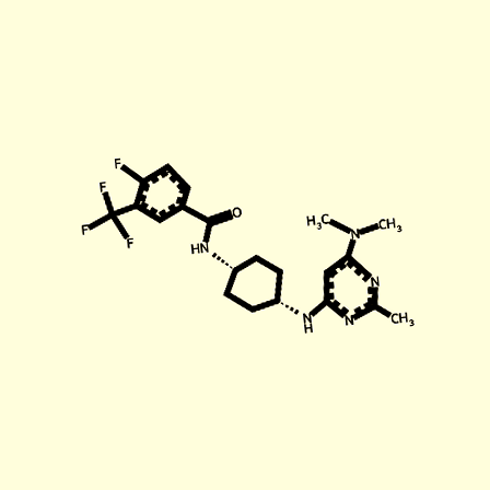 Cc1nc(N[C@H]2CC[C@@H](NC(=O)c3ccc(F)c(C(F)(F)F)c3)CC2)cc(N(C)C)n1